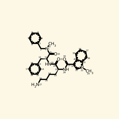 CN(Cc1ccccc1)C(=O)[C@H](Cc1ccccc1)NC(=O)[C@H](CCCCN)NC(=O)c1cn(C)c2ccccc12